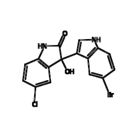 O=C1Nc2ccc(Cl)cc2C1(O)c1c[nH]c2ccc(Br)cc12